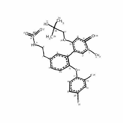 Cn1cc(-c2cc(CCN[SH](=O)=O)ccc2Oc2ccc(F)cc2F)c(OCC(C)(C)O)cc1=O